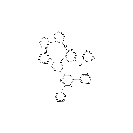 c1ccc(-c2nc(-c3cccnc3)cc(-c3ccc4c(c3)-c3cc5oc6ccccc6c5cc3Oc3ccccc3-c3ccccc3-c3ccccc3-4)n2)cc1